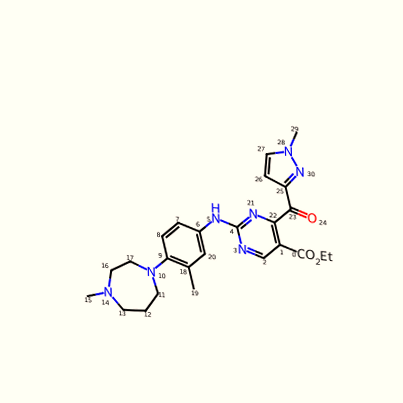 CCOC(=O)c1cnc(Nc2ccc(N3CCCN(C)CC3)c(C)c2)nc1C(=O)c1ccn(C)n1